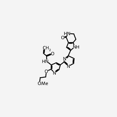 C=CC(=O)Nc1cc(-c2nccc(-c3cc4c([nH]3)CCNC4=O)n2)cnc1OCCOC